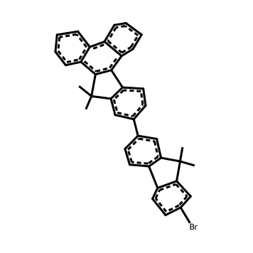 CC1(C)c2cc(Br)ccc2-c2ccc(-c3ccc4c(c3)C(C)(C)c3c-4c4ccccc4c4ccccc34)cc21